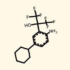 Nc1ccc(C2CCCCC2)cc1C(O)(C(F)(F)F)C(F)(F)F